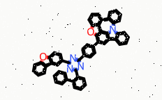 c1ccc(-c2ccccc2-c2nc(-c3ccc(-c4cc5c6ccccc6n6c7ccccc7c7cccc8oc4c(c87)c56)cc3)nc(-c3ccc4oc5ccccc5c4c3)n2)cc1